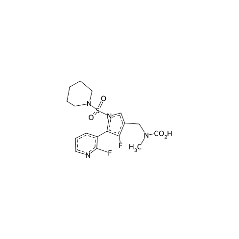 CN(Cc1cn(S(=O)(=O)N2CCCCC2)c(-c2cccnc2F)c1F)C(=O)O